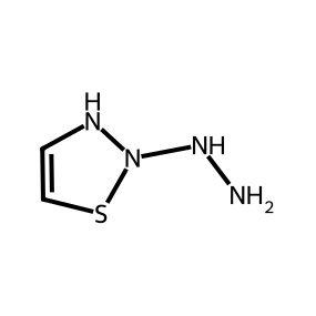 NNN1NC=CS1